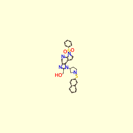 O=S(=O)(c1ccccc1)n1ccc2c1ncc1nc(CO)n(C3CCN(Sc4ccc5ccccc5c4)C3)c12